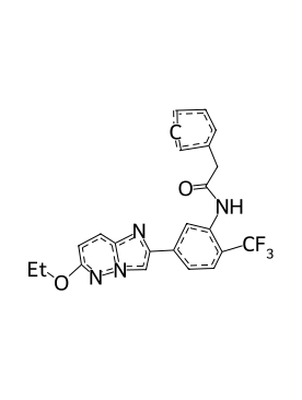 CCOc1ccc2nc(-c3ccc(C(F)(F)F)c(NC(=O)Cc4ccccc4)c3)cn2n1